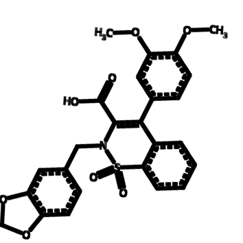 COc1ccc(C2=C(C(=O)O)N(Cc3ccc4c(c3)OCO4)S(=O)(=O)c3ccccc32)cc1OC